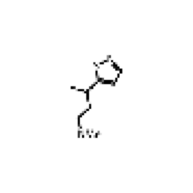 CNCCC(C)c1ccns1